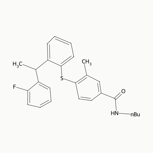 CCCCNC(=O)c1ccc(Sc2ccccc2C(C)c2ccccc2F)c(C)c1